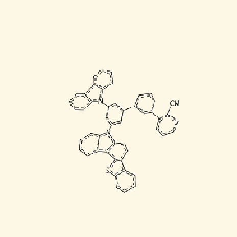 N#Cc1ccccc1-c1cccc(-c2cc(-n3c4ccccc4c4ccccc43)cc(-n3c4ccccc4c4c5sc6ccccc6c5ccc43)c2)c1